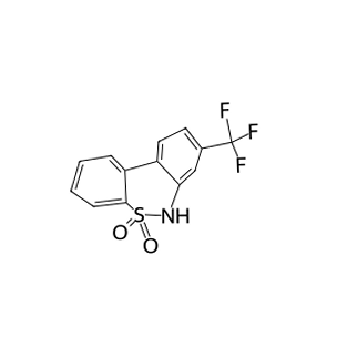 O=S1(=O)Nc2cc(C(F)(F)F)ccc2-c2ccccc21